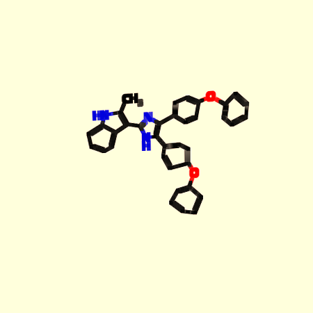 Cc1[nH]c2ccccc2c1-c1nc(-c2ccc(Oc3ccccc3)cc2)c(-c2ccc(Oc3ccccc3)cc2)[nH]1